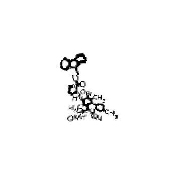 COC(=O)[C@@H](OC(C)(C)C)c1c(C)c(NC(=O)[C@@H]2CCCN2C(=O)OCC2c3ccccc3-c3ccccc32)c(Br)c(C)c1-c1ccc(C)cc1